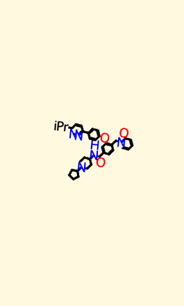 CC(C)c1ccc(-c2ccc(Oc3cc(C(=O)NC4CCN(C5CCCC5)CC4)ccc3Cn3ccccc3=O)cc2)nn1